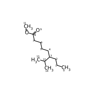 CCCC(CCCCC(=O)OC)C(C)C